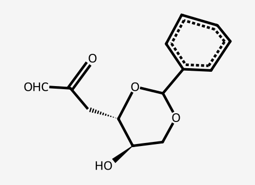 O=CC(=O)C[C@@H]1OC(c2ccccc2)OC[C@H]1O